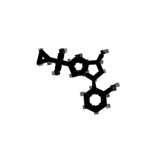 O=S(=O)(c1nc2n(n1)[C@H](c1ccccc1Cl)C[C@@H]2F)C1CC1